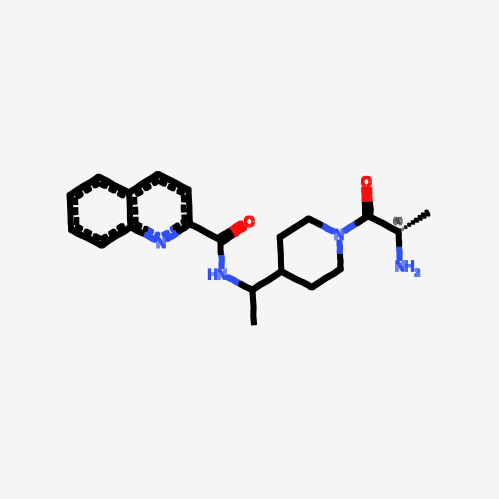 CC(NC(=O)c1ccc2ccccc2n1)C1CCN(C(=O)[C@H](C)N)CC1